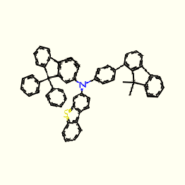 CC1(C)c2ccccc2-c2cccc(-c3ccc(N(c4ccc5c(c4)C(c4ccccc4)(c4ccccc4)c4ccccc4-5)c4ccc5c(c4)sc4ccccc45)cc3)c21